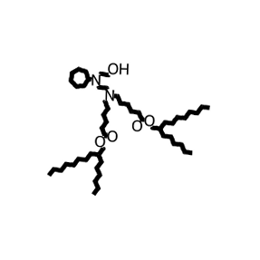 CCCCCCCCC(CCCCCC)COC(=O)CCCCCN(CCCCCC(=O)OCC(CCCCCC)CCCCCCCC)CCN(CCO)C1CCCCCC1